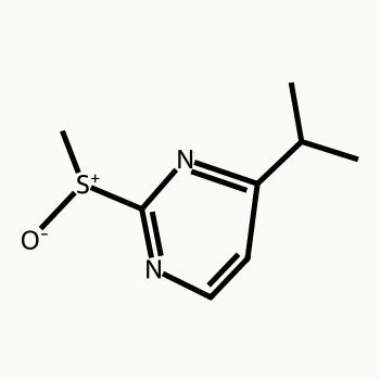 CC(C)c1ccnc([S+](C)[O-])n1